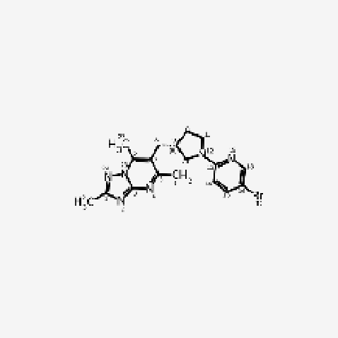 Cc1nc2nc(C)c(C[C@@H]3CCN(c4ccc(Br)cn4)C3)c(C)n2n1